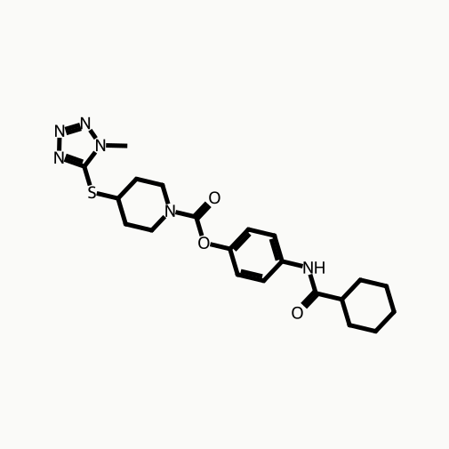 Cn1nnnc1SC1CCN(C(=O)Oc2ccc(NC(=O)C3CCCCC3)cc2)CC1